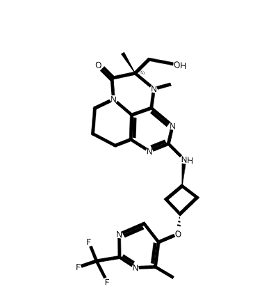 Cc1nc(C(F)(F)F)ncc1O[C@H]1C[C@H](Nc2nc3c4c(n2)N(C)[C@@](C)(CO)C(=O)N4CCC3)C1